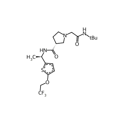 C[C@@H](NC(=O)[C@@H]1CCN(CC(=O)NC(C)(C)C)C1)c1ccc(OCC(F)(F)F)s1